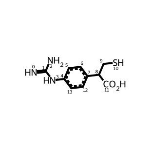 N=C(N)Nc1ccc(C(CS)C(=O)O)cc1